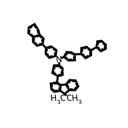 CC1(C)c2ccccc2-c2c(-c3ccc(N(c4ccc(-c5ccc(-c6ccccc6)cc5)cc4)c4ccc(-c5ccc6ccccc6c5)cc4)cc3)cccc21